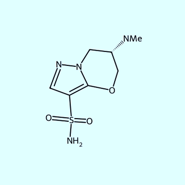 CN[C@@H]1COc2c(S(N)(=O)=O)cnn2C1